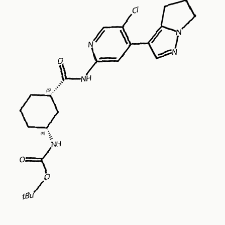 CC(C)(C)OC(=O)N[C@@H]1CCC[C@H](C(=O)Nc2cc(-c3cnn4c3CCC4)c(Cl)cn2)C1